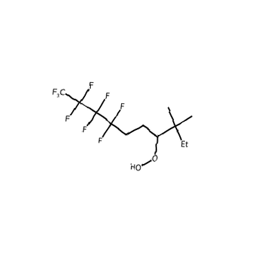 CCC(C)(C)C(CCC(F)(F)C(F)(F)C(F)(F)C(F)(F)F)OO